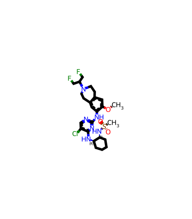 COc1cc2c(cc1Nc1ncc(Cl)c(N[C@@H]3CCCC[C@H]3NS(C)(=O)=O)n1)CCN(C(CF)CF)CC2